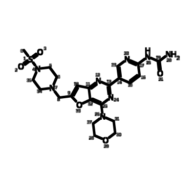 CS(=O)(=O)N1CCN(Cc2cc3nc(-c4ccc(NC(N)=O)nc4)nc(N4CCOCC4)c3o2)CC1